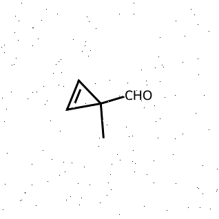 CC1(C=O)C=C1